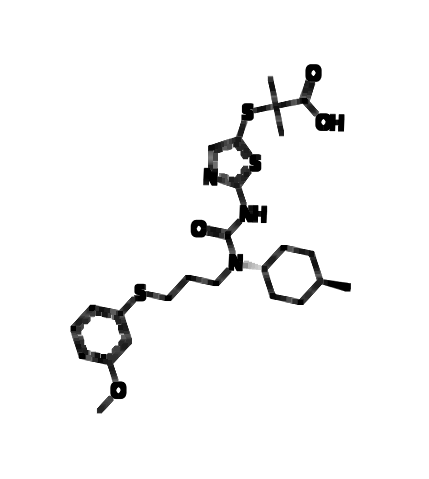 COc1cccc(SCCCN(C(=O)Nc2ncc(SC(C)(C)C(=O)O)s2)[C@H]2CC[C@H](C)CC2)c1